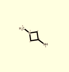 CN1CC([NH])C1